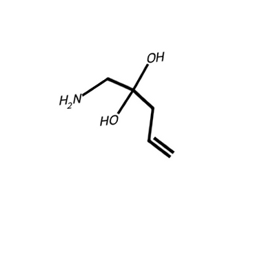 C=CCC(O)(O)CN